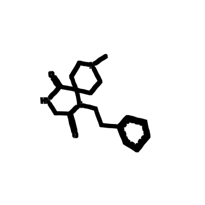 CN1CCC2(CC1)C(=O)NCC(=O)N2CCc1ccccc1